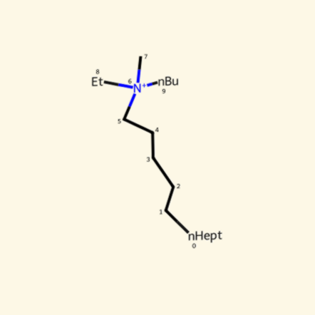 CCCCCCCCCCCC[N+](C)(CC)CCCC